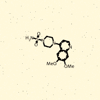 COc1cc2nccc(N3CCN(S(N)(=O)=O)CC3)c2cc1OC